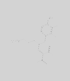 C=C(C)C(=CC(CCCNC)Cc1ccc(CCCC)c(F)c1F)C(=C)C